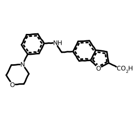 O=C(O)c1cc2ccc(CNc3cccc(N4CCOCC4)c3)cc2o1